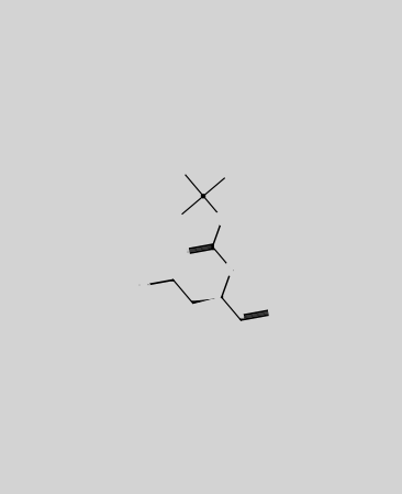 C=C[C@@H](CCO)NC(=O)OC(C)(C)C